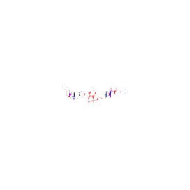 CC(C)C(OC(=O)OC(Oc1ccc2c(c1)[C@@]13CCCC[C@H]1[C@@H](C2)N(C(=O)OCc1ccccc1)CC3)C(C)C)Oc1ccc2c(c1)[C@@]13CCCC[C@H]1[C@@H](C2)N(C(=O)OCc1ccccc1)CC3